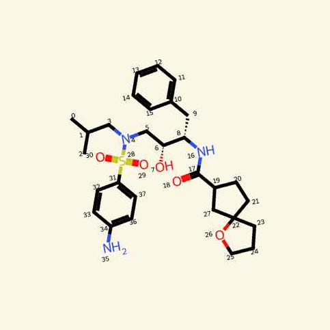 CC(C)CN(C[C@@H](O)[C@H](Cc1ccccc1)NC(=O)C1CCC2(CCCO2)C1)S(=O)(=O)c1ccc(N)cc1